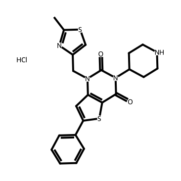 Cc1nc(Cn2c(=O)n(C3CCNCC3)c(=O)c3sc(-c4ccccc4)cc32)cs1.Cl